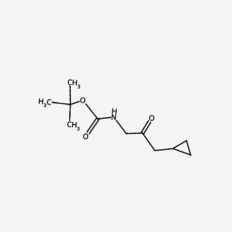 CC(C)(C)OC(=O)NCC(=O)CC1CC1